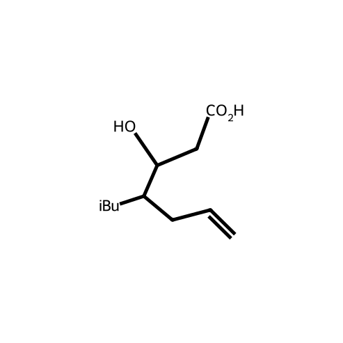 C=CCC(C(C)CC)C(O)CC(=O)O